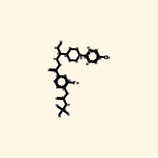 C=C(Cc1ccc(C(=C)CCC(CC)C2CCN(c3ncc(Cl)cn3)CC2)cc1F)CC(C)(C)C